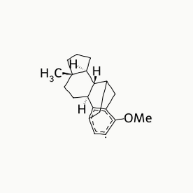 COc1[c]cc2c3c1CC(C2)[C@@H]1[C@@H]3CC[C@]2(C)CCC[C@@H]12